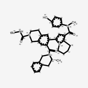 C[C@@H]1Cc2ccccc2CN1C(=O)c1cc2c(cc1-c1cc(C(=O)N(C)c3ccc(O)cc3)c3n1CCCC3)CCN(C(=O)NC(C)(C)C)C2